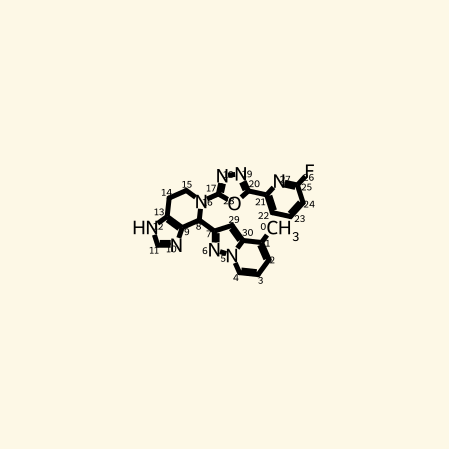 Cc1cccn2nc(C3c4nc[nH]c4CCN3c3nnc(-c4cccc(F)n4)o3)cc12